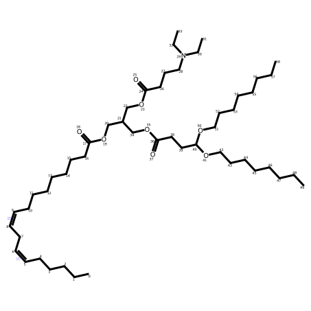 CCCCC/C=C\C/C=C\CCCCCCCC(=O)OCC(COC(=O)CCCN(CC)CC)COC(=O)CCC(OCCCCCCCC)OCCCCCCCC